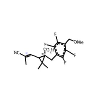 COCc1c(F)c(F)c(C[C@@]2(C(=O)O)C(/C=C(\C)C#N)C2(C)C)c(F)c1F